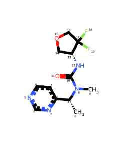 C[C@H](c1ccncn1)N(C)C(=O)N[C@@H]1COCC1(F)F